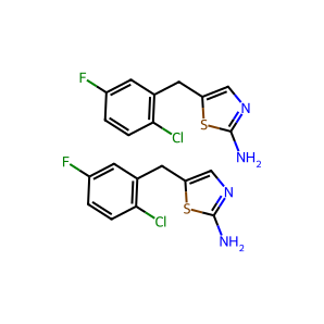 Nc1ncc(Cc2cc(F)ccc2Cl)s1.Nc1ncc(Cc2cc(F)ccc2Cl)s1